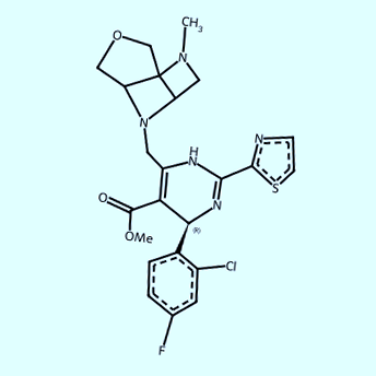 COC(=O)C1=C(CN2C3COCC34C2CN4C)NC(c2nccs2)=N[C@H]1c1ccc(F)cc1Cl